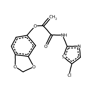 C=C(Oc1ccc2c(c1)OCO2)C(=O)Nc1ncc(Cl)s1